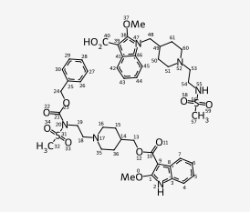 COc1[nH]c2ccccc2c1C(=O)OCC1CCN(CCN(C(=O)OCc2ccccc2)S(C)(=O)=O)CC1.COc1c(C(=O)O)c2ccccc2n1CC1CCN(CCNS(C)(=O)=O)CC1